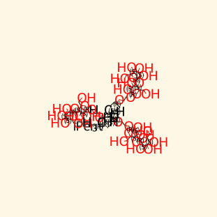 CCC[C@@H](C)[C@H]1CC[C@H]2[C@@H]3[C@H](OCCO[C@@H]4OC(CO)[C@@H](O[C@H]5OC(CO)[C@@H](O)C(O)[C@@H]5O)C(O)[C@@H]4O)C[C@@H]4C[C@H](OCCO[C@@H]5OC(CO)[C@@H](O[C@H]6OC(CO)[C@@H](O)C(O)[C@@H]6O)C(O)[C@@H]5O)CC[C@]4(C)[C@H]3CC(OCCO[C@@H]3OC(CO)[C@@H](O[C@H]4OC(CO)[C@@H](O)[C@H](O)C4O)C(O)[C@@H]3O)[C@]12C